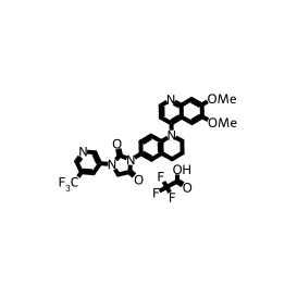 COc1cc2nccc(N3CCCc4cc(N5C(=O)CN(c6cncc(C(F)(F)F)c6)C5=O)ccc43)c2cc1OC.O=C(O)C(F)(F)F